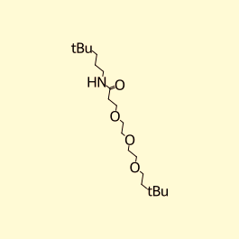 CC(C)(C)CCCNC(=O)CCOCCOCCOCCC(C)(C)C